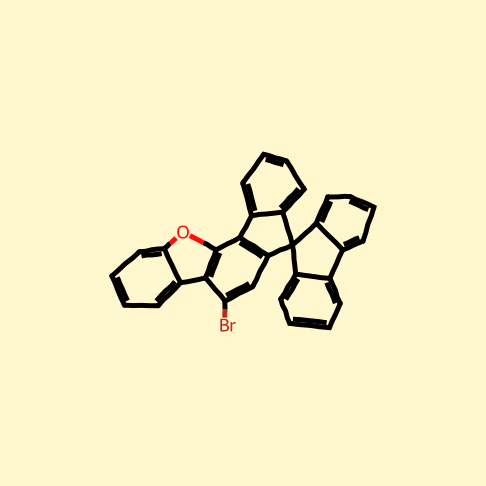 Brc1cc2c(c3oc4ccccc4c13)-c1ccccc1C21c2ccccc2-c2ccccc21